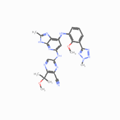 COc1c(Nc2cc(Nc3cnc(C(C)(C)OC)c(C#N)n3)nc3[nH]c(C)nc23)cccc1-c1nnn(C)n1